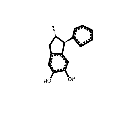 C[C@H]1Cc2cc(O)c(O)cc2[C@@H]1c1ccccc1